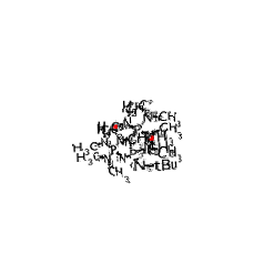 CN(C)P(=NC(C)(C)C)(N=P(N(C)C)(N(C)C)N(C)C)N=P(N(C)C)(N(C)C)N(C)C